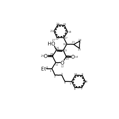 CCC(CCCc1ccccc1)C1OC(=O)C(C(c2ccccc2)C2CC2)=C(O)C1=O